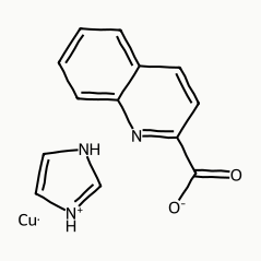 O=C([O-])c1ccc2ccccc2n1.[Cu].c1c[nH+]c[nH]1